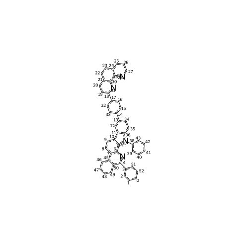 c1ccc(-c2nc3c(ccc4c5cc(-c6ccc(-c7ccc8ccc9cccnc9c8n7)cc6)ccc5n(-c5ccccc5)c43)c3ccccc23)cc1